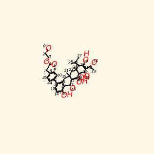 COCCOC(=O)Cc1ccc(-c2ccc(O)c3c2C[C@]2(C)C[C@]4(C)C(C(C)C)C(O)=C(C(C)=O)C(=O)[C@]4(O)C(O)=C2C3=O)cc1